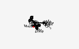 COCC(C)OP(=S)(OC)OCCCCCNC(=O)C(COC(c1ccccc1)(c1ccc(OC)cc1)c1ccc(OC)cc1)NC(=O)OCC1c2ccccc2-c2ccccc21